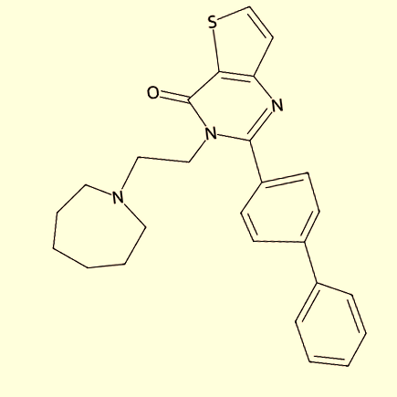 O=c1c2sccc2nc(-c2ccc(-c3ccccc3)cc2)n1CCN1CCCCCC1